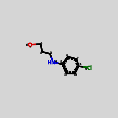 [O]CCCNc1ccc(Cl)cc1